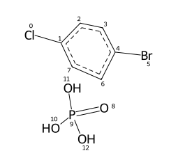 Clc1ccc(Br)cc1.O=P(O)(O)O